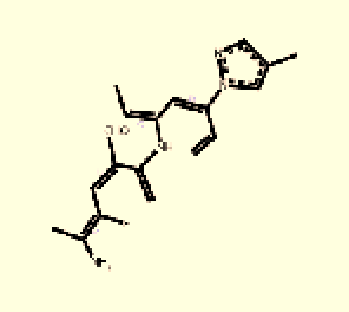 C=C/C(=C\C(=C/C)NC(=C)/C(C=O)=C\C(F)=C(/C)N)n1cc(C)cn1